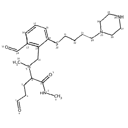 CNC(=O)C(CCC=O)N(C)Cc1c(C=O)cccc1SCCCCN1CCNCC1